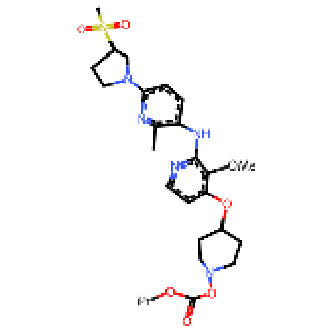 COc1c(OC2CCN(OC(=O)OC(C)C)CC2)ccnc1Nc1ccc(N2CCC(S(C)(=O)=O)C2)nc1C